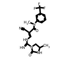 CC1CN(C(=N)NC=C(C#N)C(=O)N(C)c2cccc(C(F)(F)F)c2)C(=O)N1